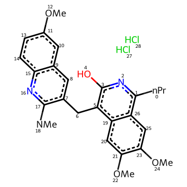 CCCc1nc(O)c(Cc2cc3cc(OC)ccc3nc2NC)c2cc(OC)c(OC)cc12.Cl.Cl